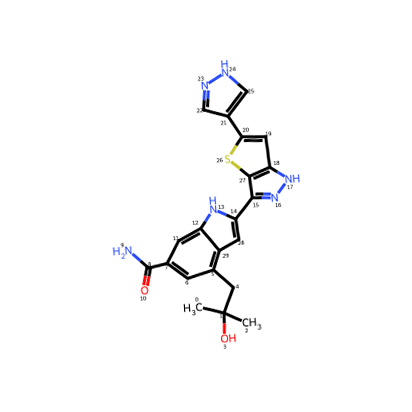 CC(C)(O)Cc1cc(C(N)=O)cc2[nH]c(-c3n[nH]c4cc(-c5cn[nH]c5)sc34)cc12